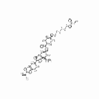 C=CC(=O)OCCCCCCOc1ccc(C(=O)Oc2ccc(OC(=O)c3ccc(OC(=O)C(=C)C)cc3)c(CCC)c2)cc1